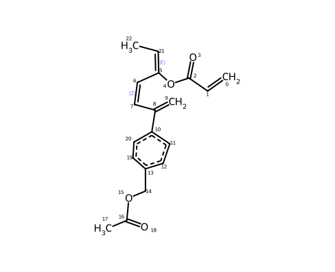 C=CC(=O)OC(/C=C\C(=C)c1ccc(COC(C)=O)cc1)=C/C